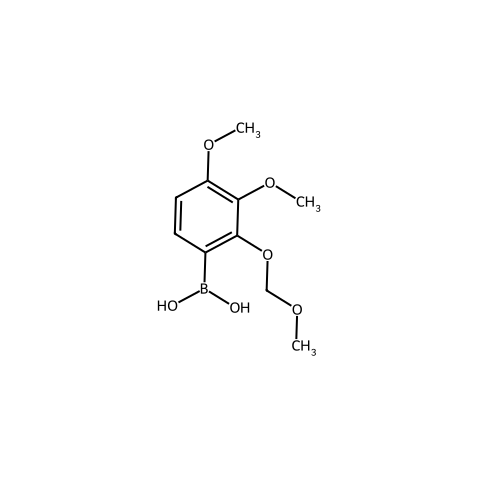 COCOc1c(B(O)O)ccc(OC)c1OC